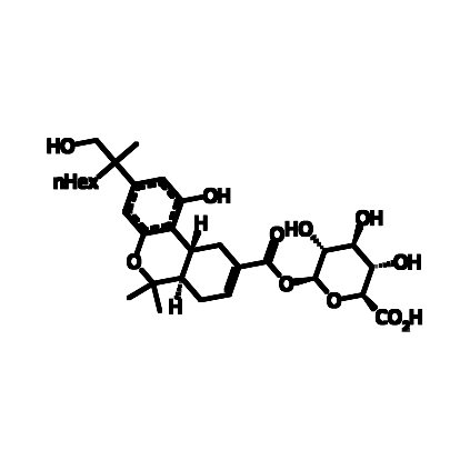 CCCCCCC(C)(CO)c1cc(O)c2c(c1)OC(C)(C)[C@@H]1CC=C(C(=O)O[C@@H]3O[C@H](C(=O)O)[C@@H](O)[C@H](O)[C@H]3O)C[C@@H]21